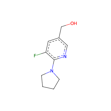 OCc1cnc(N2CCCC2)c(F)c1